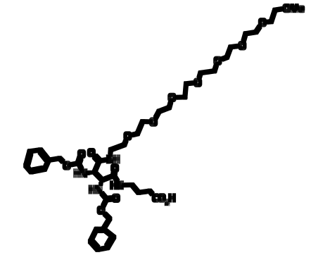 COCCOCCOCCOCCOCCOCCOCCOCCNC(=O)[C@H](NC(=O)OCc1ccccc1)[C@@H](NC(=O)OCc1ccccc1)C(=O)NCCCC(=O)O